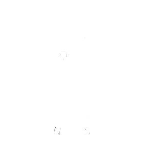 CC(C)(C)Oc1cnsc1